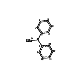 CC(C)(C)C(c1cc[c]cc1)c1ccccc1